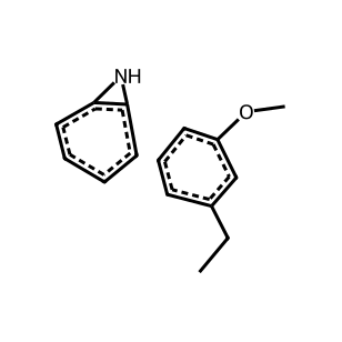 CCc1cccc(OC)c1.c1ccc2c(c1)N2